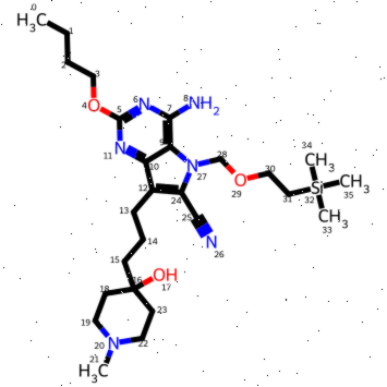 CCCCOc1nc(N)c2c(n1)c(CCCC1(O)CCN(C)CC1)c(C#N)n2COCC[Si](C)(C)C